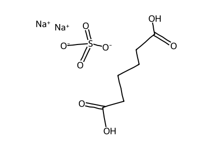 O=C(O)CCCCC(=O)O.O=S(=O)([O-])[O-].[Na+].[Na+]